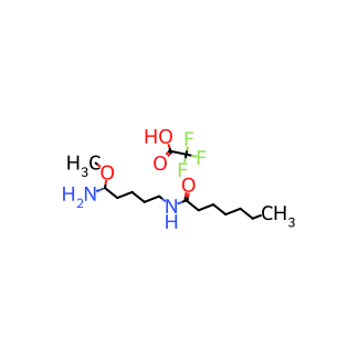 CCCCCCC(=O)NCCCC[C@@H](N)OC.O=C(O)C(F)(F)F